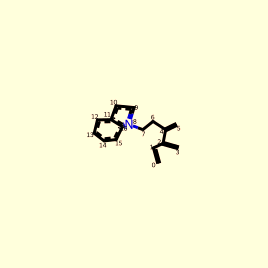 C=CC(=C)C(=C)CCn1ccc2ccccc21